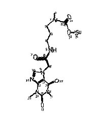 CN(CCCNC(=O)Cn1cnc2c1c(=O)n(C)c(=O)n2C)C(=O)OC(C)(C)C